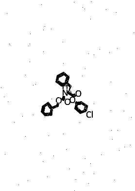 O=C(N[C@@H](Cc1ccccc1)C(=O)Oc1ccc(Cl)cc1)OCc1ccccc1